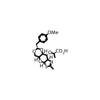 COc1ccc(C[C@@H]2OC[C@H]3O[C@@H]4SC(C)=N[C@@H]4[C@@H](O[C@H](C)C(=O)O)[C@@H]3O2)cc1